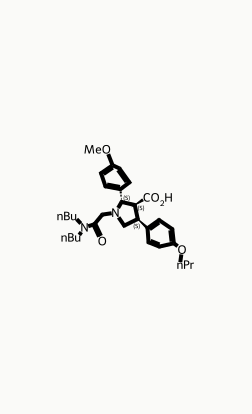 CCCCN(CCCC)C(=O)CN1C[C@H](c2ccc(OCCC)cc2)[C@H](C(=O)O)[C@H]1c1ccc(OC)cc1